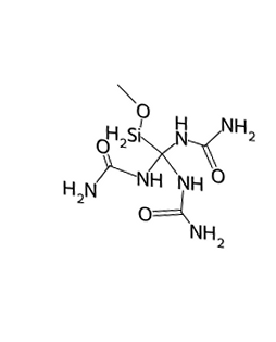 CO[SiH2]C(NC(N)=O)(NC(N)=O)NC(N)=O